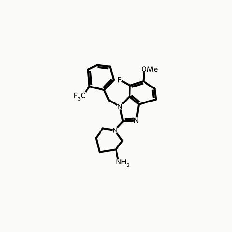 COc1ccc2nc(N3CCCC(N)C3)n(Cc3ccccc3C(F)(F)F)c2c1F